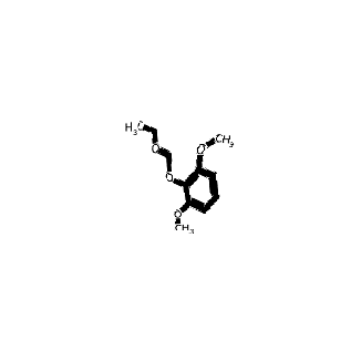 CCOCOc1c(OC)cccc1OC